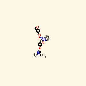 Cc1cc(COc2ccc(C[C@H](NC(=O)OCc3ccc4occc4c3)C(=O)N(CC(C)C)CC(C)C)cc2)nn1C